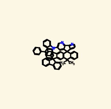 CC1(C)c2ccccc2C2(c3cc4c(cc31)C1(c3ccccc3-c3ccccc31)c1cc(-c3ccccc3)ccc1-4)c1cccnc1-c1ncc(-n3c4ccccc4c4ccccc43)cc12